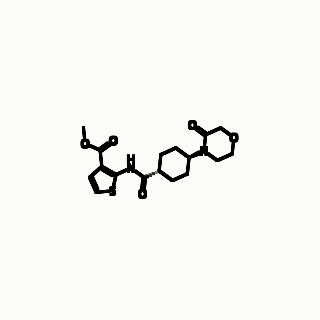 COC(=O)c1ccsc1NC(=O)[C@H]1CC[C@H](N2CCOCC2=O)CC1